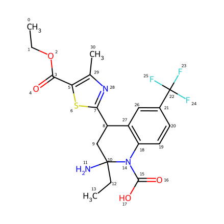 CCOC(=O)c1sc(C2CC(N)(CC)N(C(=O)O)c3ccc(C(F)(F)F)cc32)nc1C